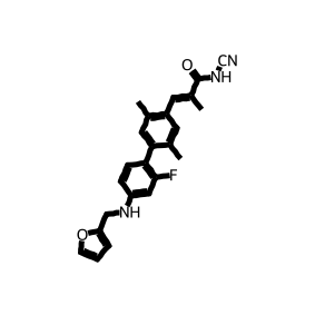 C/C(=C\c1cc(C)c(-c2ccc(NCc3ccco3)cc2F)cc1C)C(=O)NC#N